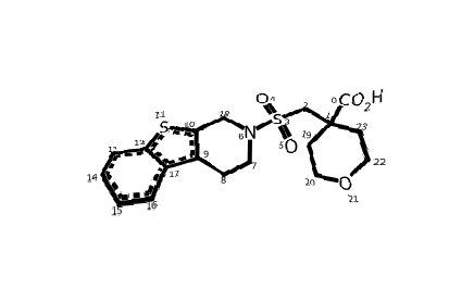 O=C(O)C1(CS(=O)(=O)N2CCc3c(sc4ccccc34)C2)CCOCC1